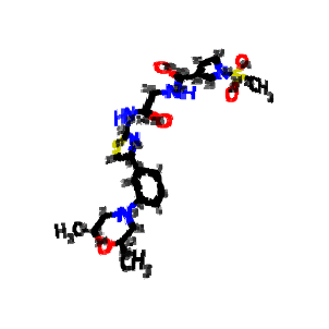 C[C@@H]1CN(c2cccc(-c3csc(NC(=O)CNC(=O)c4ccn(S(C)(=O)=O)c4)n3)c2)C[C@@H](C)O1